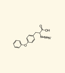 [N-]=[N+]=NC(Cc1ccc(Oc2ccccc2)cc1)C(=O)O